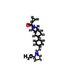 C[C@@H]1CCCN1CCc1ccc(-c2ccc3cn(C(=O)C4CC4)cc3c2)cc1